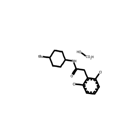 CC(C)(C)C1CCC(NC(=O)Cc2c(Cl)cccc2Cl)CC1.O=C(O)O